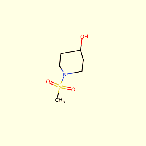 CS(=O)(=O)N1CC[C](O)CC1